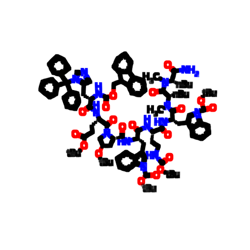 CCCC[C@@H](C(=O)N(C)[C@@H](CCCC)C(N)=O)N(C)C(=O)[C@H](Cc1cn(C(=O)OC(C)(C)C)c2ccccc12)NC(=O)[C@H](CCNC(=O)OC(C)(C)C)NC(=O)[C@H](Cc1cn(C(=O)OC(C)(C)C)c2ccccc12)NC(=O)[C@@H]1C[C@@H](OC(C)(C)C)CN1C(=O)[C@H](CCC(=O)OC(C)(C)C)NC(=O)[C@H](Cc1cncn1C(c1ccccc1)(c1ccccc1)c1ccccc1)NC(=O)OCC1c2ccccc2-c2ccccc21